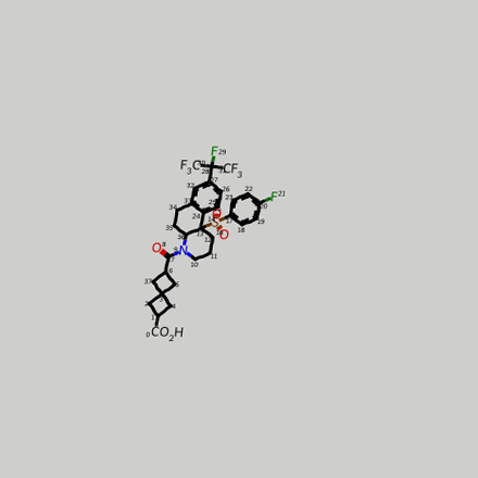 O=C(O)C1CC2(C1)CC(C(=O)N1CCCC3(S(=O)(=O)c4ccc(F)cc4)c4ccc(C(F)(C(F)(F)F)C(F)(F)F)cc4CCC13)C2